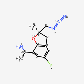 C[C@@H](N)c1cc(F)cc2c1O[C@@](C)(CN=[N+]=[N-])C2